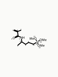 C=C(C)C(=O)NC(C)CCC[Si](OC)(OC)OC